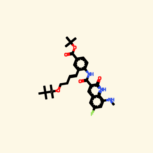 CNc1cc(F)cc2cc(C(=O)Nc3ccc(C(=O)OC(C)(C)C)cc3/C=C/CCO[Si](C)(C)C(C)(C)C)c(=O)[nH]c12